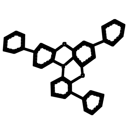 c1ccc(-c2ccc3c(c2)Oc2cc(-c4ccccc4)cc4c2B3c2cccc(-c3ccccc3)c2O4)cc1